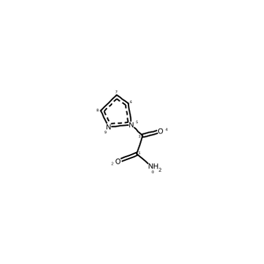 NC(=O)C(=O)n1cccn1